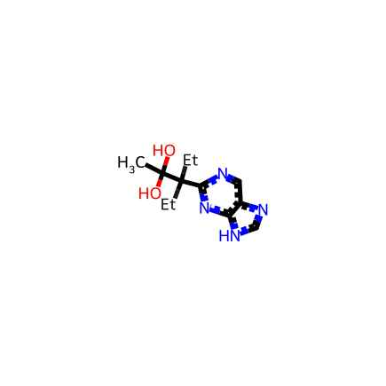 CCC(CC)(c1ncc2nc[nH]c2n1)C(C)(O)O